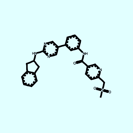 CS(=O)(=O)Cc1ccc(C(=O)Nc2cccc(-c3cnc(NC4Cc5ccccc5C4)nc3)c2)cn1